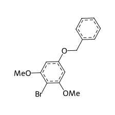 COc1cc(OCc2ccccc2)cc(OC)c1Br